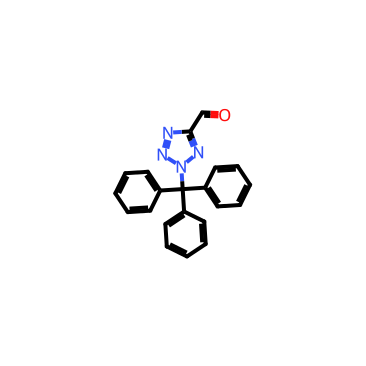 O=Cc1nnn(C(c2ccccc2)(c2ccccc2)c2ccccc2)n1